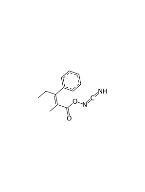 CCC(=C(C)C(=O)ON=C=N)c1ccccc1